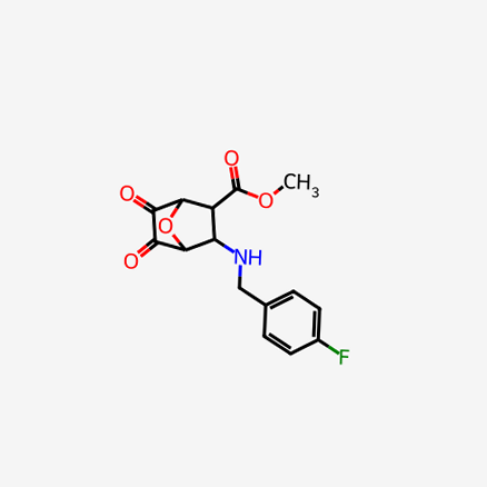 COC(=O)C1C2OC(C(=O)C2=O)C1NCc1ccc(F)cc1